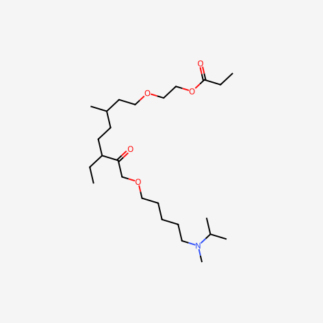 CCC(=O)OCCOCCC(C)CCC(CC)C(=O)COCCCCCN(C)C(C)C